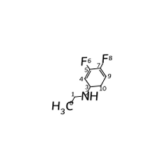 CCNC1C=C(F)C(F)=CC1